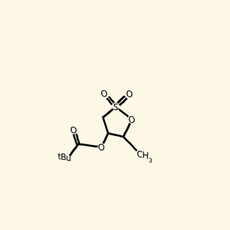 CC1OS(=O)(=O)CC1OC(=O)C(C)(C)C